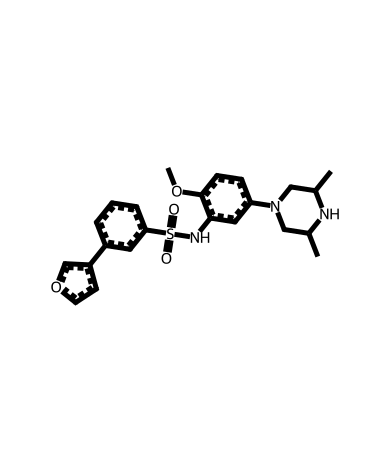 COc1ccc(N2CC(C)NC(C)C2)cc1NS(=O)(=O)c1cccc(-c2ccoc2)c1